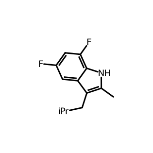 Cc1[nH]c2c(F)cc(F)cc2c1CC(C)C